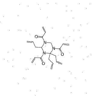 C=CCC1N(C(=O)C=C)CN(C(=O)C=C)C(CC=C)(CC=C)N1C(=O)C=C